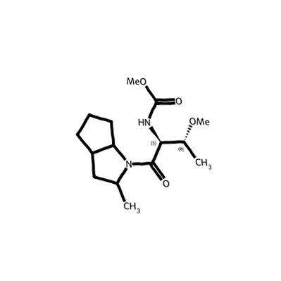 COC(=O)N[C@H](C(=O)N1C(C)CC2CCCC21)[C@@H](C)OC